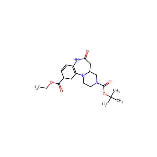 CCOC(=O)C1C=CC2=C(C1)N1CCN(C(=O)OC(C)(C)C)CC1CC(=O)N2